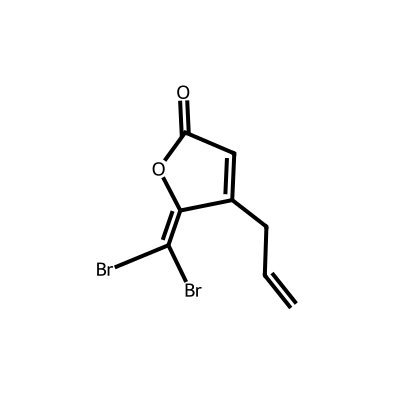 C=CCC1=CC(=O)OC1=C(Br)Br